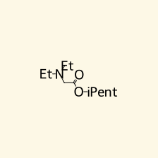 CCCC(C)OC(=O)CN(CC)CC